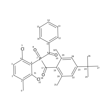 Cc1ccc(Cl)c(P(=O)(C(=O)c2ccccc2)C(=O)c2c(C)cc(C(C)(C)C)cc2C)c1Cl